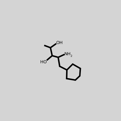 CC(O)C(O)C(N)CC1CCCCC1